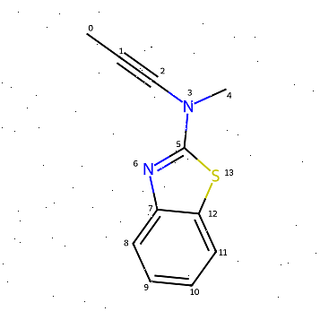 CC#CN(C)c1nc2ccccc2s1